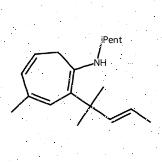 C/C=C/C(C)(C)C1=C(NC(C)CCC)CC=CC(C)=C1